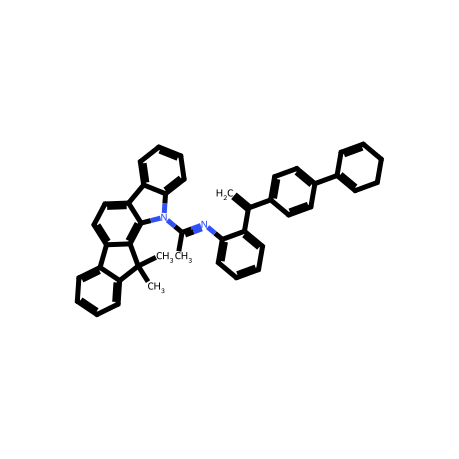 C=C(c1ccc(C2=CCCC=C2)cc1)c1ccccc1/N=C(\C)n1c2ccccc2c2ccc3c(c21)C(C)(C)c1ccccc1-3